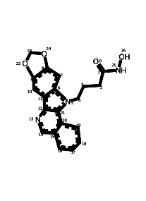 O=C(CCCn1c2cc3c(cc2c2ncc4ccccc4c21)OCO3)NO